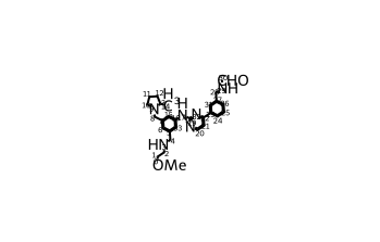 COCCNCc1cc(CN2CCCC2C)cc(Nc2nccc(-c3cccc(CNC=O)c3)n2)c1